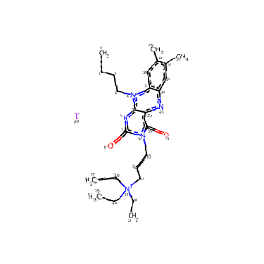 CCCCn1c2nc(=O)n(CCC[N+](CC)(CC)CC)c(=O)c-2nc2cc(C)c(C)cc21.[I-]